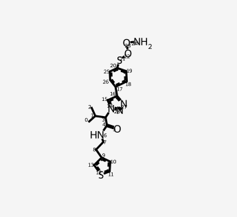 CC(C)C(C(=O)NCCc1ccsc1)n1cc(-c2ccc(SOON)cc2)nn1